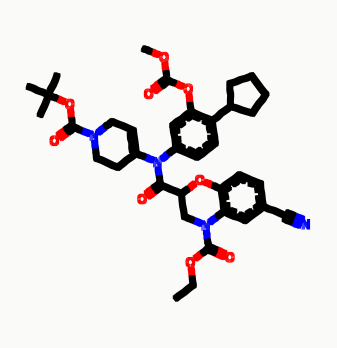 CCOC(=O)N1CC(C(=O)N(C2=CCN(C(=O)OC(C)(C)C)CC2)c2ccc(C3CCCC3)c(OC(=O)OC)c2)Oc2ccc(C#N)cc21